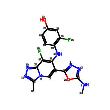 CNc1nnc(-c2cn3c(C)nnc3c(F)c2Nc2ccc(O)cc2F)o1